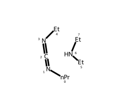 CCCN=C=NCC.CCNCC